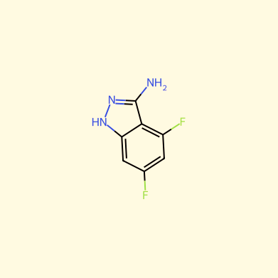 Nc1n[nH]c2cc(F)cc(F)c12